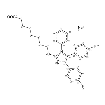 O=C([O-])CCCCCCCOc1nc(-c2ccc(F)cc2)c(-c2ccc(F)cc2)n1-c1ccccc1.[Na+]